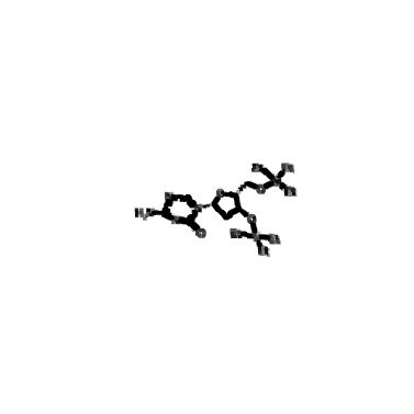 CC[Si](CC)(CC)OC[C@H]1O[C@@H](n2cnc(N)nc2=O)C[C@@H]1O[Si](CC)(CC)CC